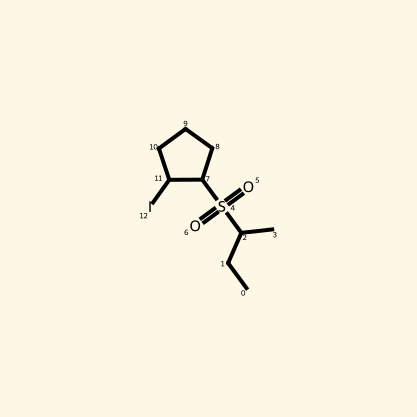 CCC(C)S(=O)(=O)C1CCCC1I